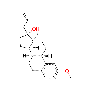 C=CC[C@]1(O)CC[C@H]2[C@@H]3CCc4c[c]c(OC)cc4[C@H]3CC[C@@]21C